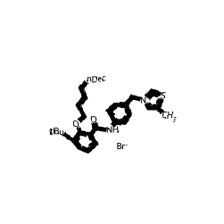 CCCCCCCCCCCCCCOc1c(C(=O)Nc2ccc(C[n+]3csc(C)c3)cc2)cccc1C(C)(C)C.[Br-]